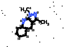 Cc1nn(C)c2nc3ccccc3cc12